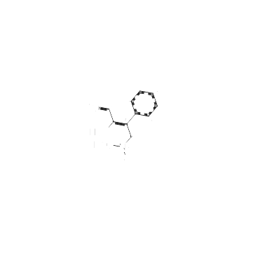 CC([C]=O)=C(CN(C)C)c1ccccc1